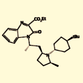 CCOC(=O)c1nc2ccccc2n([C@@H](C)C[C@@H]2CC[C@H](C)N2[C@H]2CC[C@H](C(C)(C)C)CC2)c1=O